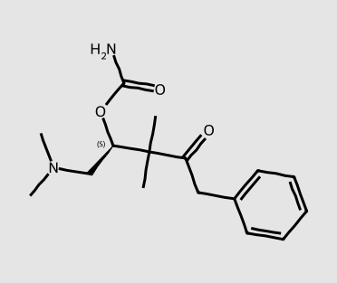 CN(C)C[C@@H](OC(N)=O)C(C)(C)C(=O)Cc1ccccc1